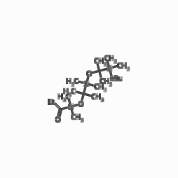 CCCC[Si](C)(C)C(C)(C)O[Si](C)(C)C(C)(C)O[Si](C)(C)C(=O)CC